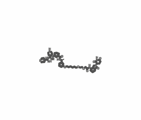 C[C@@H](NC(=O)c1cccc(NC2(C(=N)NC(=N)c3ccncc3)CCNCC2)c1)c1cccc(OCCCCCCOCCOCC(=O)Nc2cccc3c2CN(C2CCC(=O)NC2=O)C3=O)c1